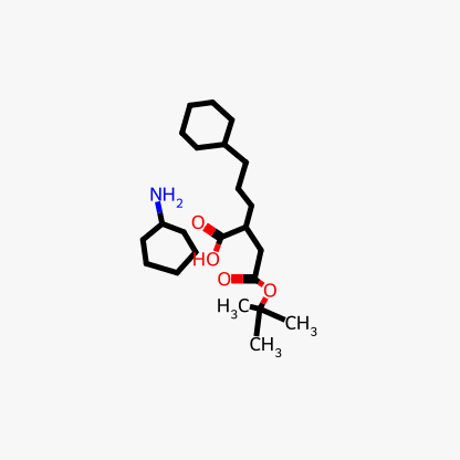 CC(C)(C)OC(=O)CC(CCCC1CCCCC1)C(=O)O.NC1CCCCC1